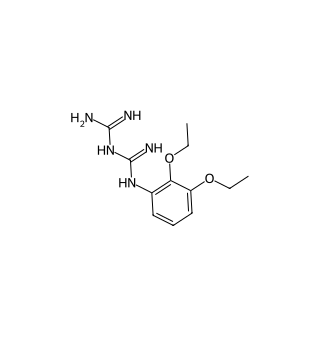 CCOc1cccc(NC(=N)NC(=N)N)c1OCC